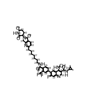 CNc1c(C(=O)NC2CC2)cnc2cc(F)c(-c3ccc(C(=O)NCCCCCCCc4ccc5c(n4)CN(C4CCC(=O)NC4=O)C5=O)c(C(F)(F)F)c3)cc12